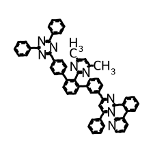 Cc1cc(C)nc(-c2c(-c3ccc(-c4nc(-c5ccccc5)nc(-c5ccccc5)n4)cc3)cccc2-c2cccc(-c3cc(-c4ccccc4)nc(-c4ccccc4-c4cccnc4)n3)c2)n1